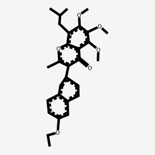 CCOc1ccc2cc(-c3c(C)oc4c(CC(C)C)c(OC)c(OC)c(OC)c4c3=O)ccc2c1